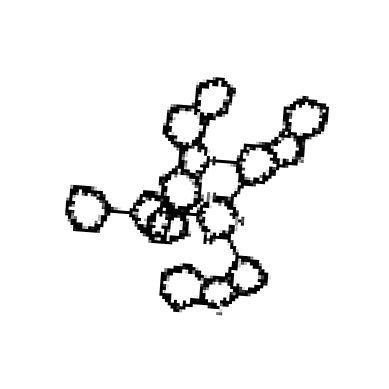 c1ccc(-c2ccc(-c3nc(-c4cc5sc6ccccc6c5cc4-n4c5cc6ccccc6cc5c5ccc6ccccc6c54)nc(-c4cccc5sc6ccccc6c45)n3)cc2)cc1